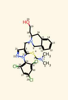 CN(C)CSc1c(CN2Cc3ccccc3CC2CCO)cnn1-c1c(Cl)cc(Cl)cc1Cl